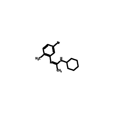 CC(=Nc1cc(Br)ccc1C)NC1CCCCC1